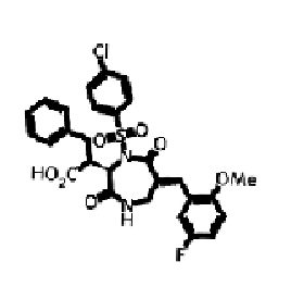 COc1ccc(F)cc1/C=C1\CNC(=O)[C@@H](C(Cc2ccccc2)C(=O)O)N(S(=O)(=O)c2ccc(Cl)cc2)C1=O